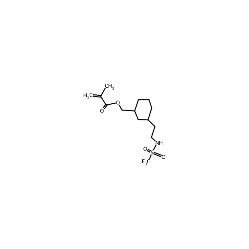 C=C(C)C(=O)OCC1CCCC(CCNS(=O)(=O)C(F)(F)F)C1